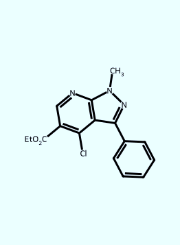 CCOC(=O)c1cnc2c(c(-c3ccccc3)nn2C)c1Cl